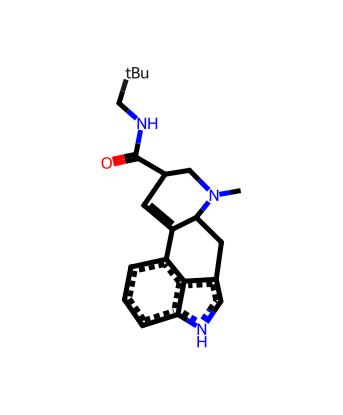 CN1CC(C(=O)NCC(C)(C)C)C=C2c3cccc4[nH]cc(c34)CC21